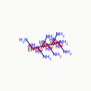 CCN(Cc1ccc(CN(CCCCN(Cc2ccc(CN(CCCCN(Cc3ccc(CN(CCN)C(=O)CCC(=O)NCCCCCCN)cc3)C(=O)CCC(=O)NCCCCCCN)C(=O)CCC(=O)NCCCCCCN)cc2)C(=O)CCC(=O)NCCCCCCN)C(=O)CCC(=O)NCCCCCCN)cc1)C(=O)CCC(=O)NCCCCCCN